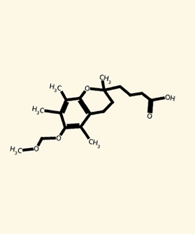 COCOc1c(C)c(C)c2c(c1C)CCC(C)(CCCC(=O)O)O2